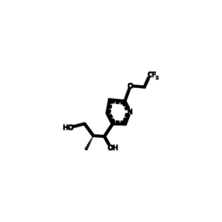 C[C@H](CO)C(O)c1ccc(OCC(F)(F)F)nc1